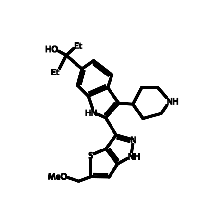 CCC(O)(CC)c1ccc2c(C3CCNCC3)c(-c3n[nH]c4cc(COC)sc34)[nH]c2c1